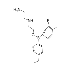 CCc1ccc(B(OCCNCCN)c2ccc(C)c(F)c2)cc1